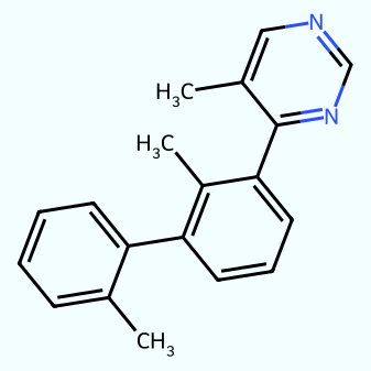 Cc1ccccc1-c1cccc(-c2ncncc2C)c1C